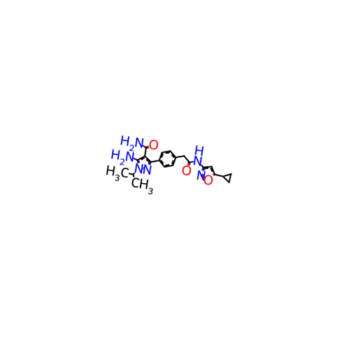 CC(C)n1nc(-c2ccc(CC(=O)Nc3cc(C4CC4)on3)cc2)c(C(N)=O)c1N